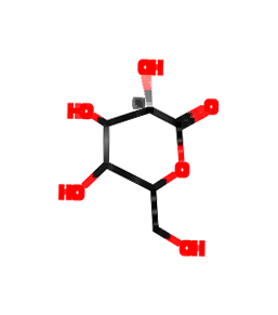 O=C1OC(CO)C(O)C(O)[C@@H]1O